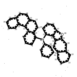 c1ccc(N(c2cccc3c2ccc2ccc4ccccc4c23)c2cccc3oc4cc5ccccc5cc4c23)cc1